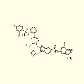 Cc1n[nH]c2c(F)cc(NC(=O)c3ccc4c(c3)nc(CN3CC=C(c5cccc6c5OC(C)(c5ccc(Cl)cc5F)O6)C[C@@H]3C)n4CC3CCO3)cc12